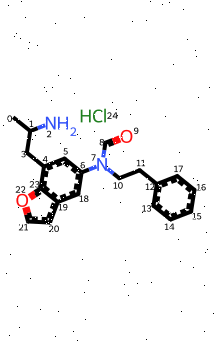 CC(N)Cc1cc(N(C=O)CCc2ccccc2)cc2ccoc12.Cl